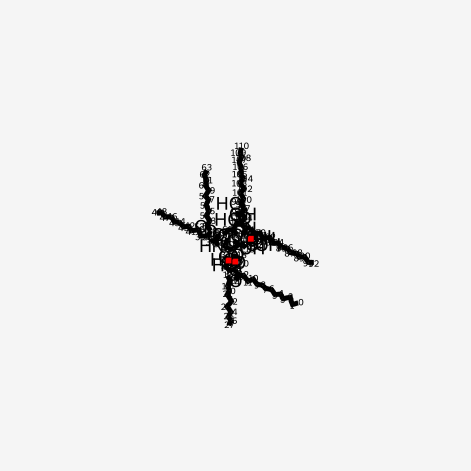 CCCCCCCCCCCCCC(=O)O[C@H](CCCCCCCCCCC)CC(=O)OC1C(NC(=O)C[C@@H](CCCCCCCCCCC)OC(=O)CCCCCCCCCCC)[C@H](OCC2O[C@@H](OP(=O)(O)O)C(NC(=O)C[C@H](O)CCCCCCCCCCC)C(OC(=O)C[C@H](O)CCCCCCCCCCC)[C@@H]2O)OC(CO)[C@H]1OP(=O)(O)O